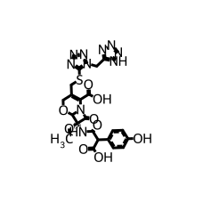 CO[C@]1(NC(=O)C(C(=O)O)c2ccc(O)cc2)C(=O)N2C(C(=O)O)=C(CSc3nnnn3Cc3nnn[nH]3)COC21